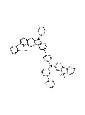 CC1(C)c2ccccc2-c2ccc(N(c3ccc(-c4ccc5c(c4)c4cc6c7c(ccc6cc4n5-c4ccccc4)-c4ccccc4C7(C)C)cc3)c3cccc(-c4ccccc4)c3)cc21